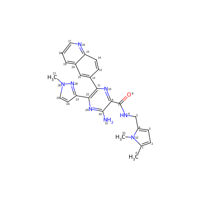 Cc1ccc(CNC(=O)c2nc(-c3ccc4ncccc4c3)c(-c3ccn(C)n3)nc2N)n1C